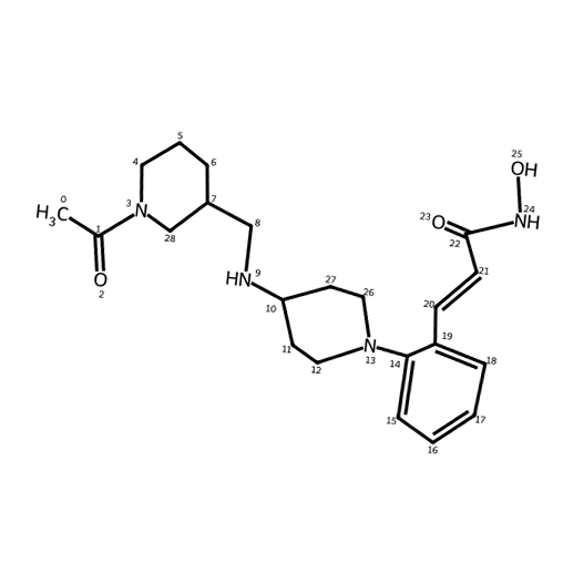 CC(=O)N1CCCC(CNC2CCN(c3ccccc3/C=C/C(=O)NO)CC2)C1